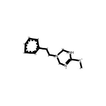 [CH2]SC1=NCN(CCc2ccccc2)CN1